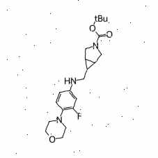 CC(C)(C)OC(=O)N1CC2C(CNc3ccc(N4CCOCC4)c(F)c3)C2C1